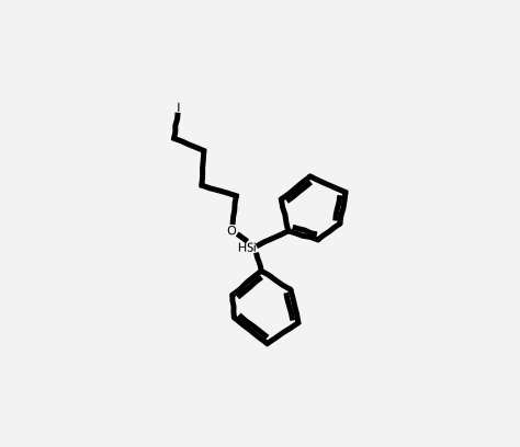 ICCCCO[SiH](c1ccccc1)c1ccccc1